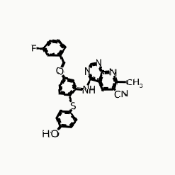 Cc1nc2ncnc(Nc3cc(OCc4cccc(F)c4)ccc3Sc3ccc(O)cc3)c2cc1C#N